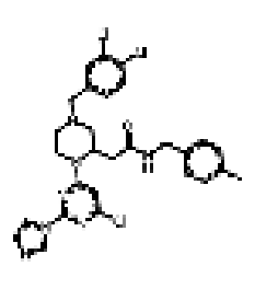 Cc1ccc(CNC(=O)CC2CN(Cc3ccc(Cl)c(Cl)c3)CCN2c2cc(Cl)nc(-n3ccnc3)n2)cc1